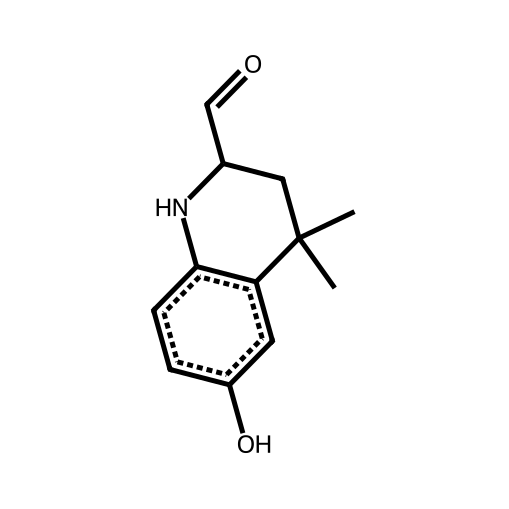 CC1(C)CC(C=O)Nc2ccc(O)cc21